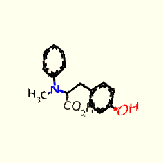 CN(c1ccccc1)C(Cc1ccc(O)cc1)C(=O)O